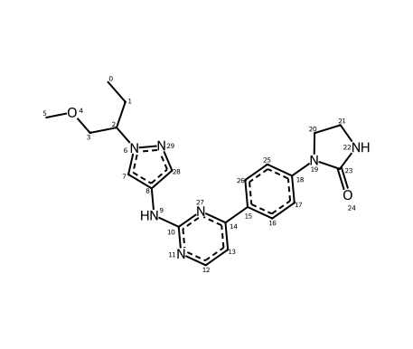 CCC(COC)n1cc(Nc2nccc(-c3ccc(N4CCNC4=O)cc3)n2)cn1